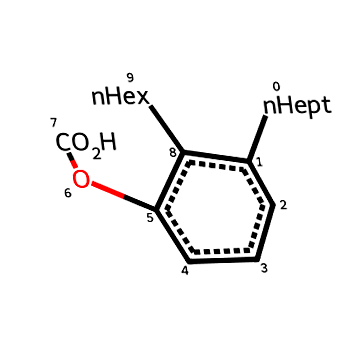 CCCCCCCc1cccc(OC(=O)O)c1CCCCCC